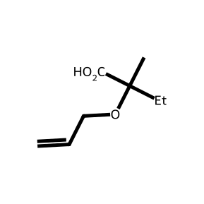 C=CCOC(C)(CC)C(=O)O